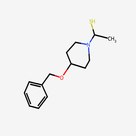 CC(S)N1CCC(OCc2ccccc2)CC1